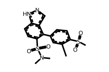 Cc1cc(-c2c(S(=O)(=O)N(C)C)ccc3[nH]ncc23)ccc1S(C)(=O)=O